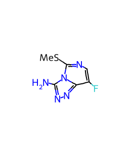 CSc1ncc(F)c2nnc(N)n12